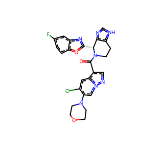 O=C(c1cnn2cc(N3CCOCC3)c(Cl)cc12)N1CCc2[nH]cnc2[C@H]1c1nc2cc(F)ccc2o1